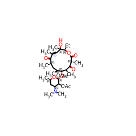 CC[C@H]1OC(=O)[C@H](C)C(=O)C(C)[C@@H](O[C@@H]2O[C@H](C)C[C@H](N(C)C)C2OC(C)=O)[C@](C)(OC)C[C@@H](C)C(=O)/C(C)=C/[C@]1(C)O